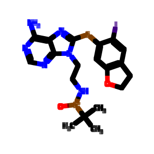 CC(C)(C)[S+]([O-])NCCn1c(Sc2cc3c(cc2I)CCO3)nc2c(N)ncnc21